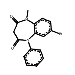 CN1C(=O)CC(=O)N(c2ccccc2)c2cc(Br)ccc21